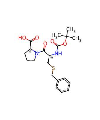 CC(C)(C)OC(=O)N[C@@H](CSCc1ccccc1)C(=O)N1CCC[C@H]1C(=O)O